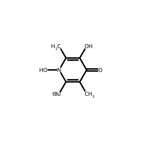 Cc1c(C(C)(C)C)n(O)c(C)c(O)c1=O